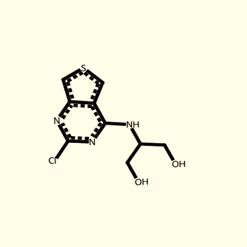 OCC(CO)Nc1nc(Cl)nc2cscc12